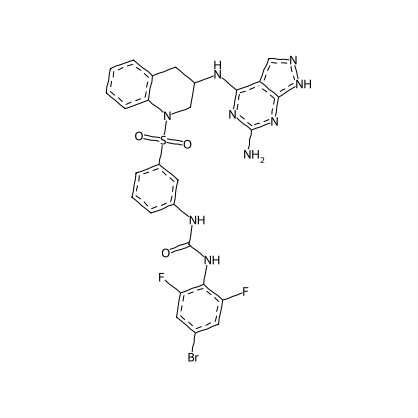 Nc1nc(NC2Cc3ccccc3N(S(=O)(=O)c3cccc(NC(=O)Nc4c(F)cc(Br)cc4F)c3)C2)c2cn[nH]c2n1